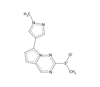 Cn1cc(-c2ccc3cnc([S+](C)[O-])nn23)cn1